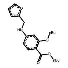 CCCCOC(=O)c1ccc(NCc2ccco2)cc1OCCCC